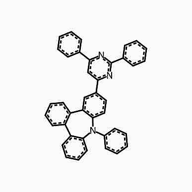 c1ccc(-c2cc(-c3ccc4c(c3)-c3ccccc3-c3ccccc3N4c3ccccc3)nc(-c3ccccc3)n2)cc1